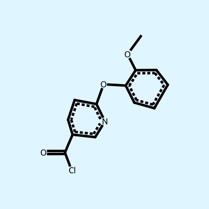 COc1ccccc1Oc1ccc(C(=O)Cl)cn1